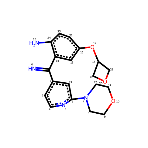 N=C(c1ccnc(N2CCOCC2)c1)c1cc(OC2COC2)ccc1N